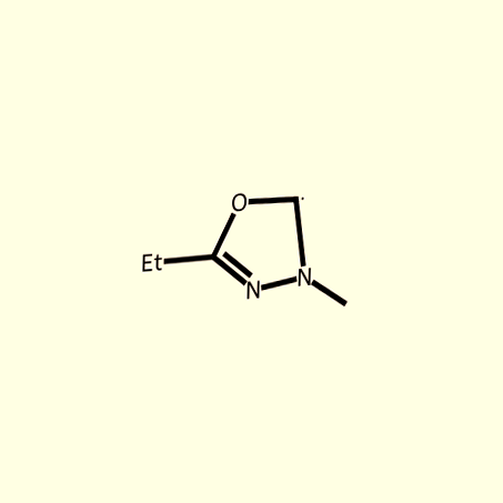 CCC1=NN(C)[CH]O1